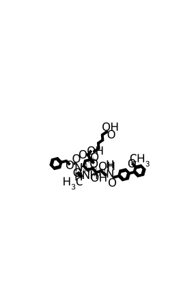 COc1ccccc1-c1ccc(C(=O)NC[C@@H](O)[C@@H](O)[C@@H]2O[C@@](OCCCCCC(=O)O)(C(=O)O)C[C@H](NC(=O)OCc3ccccc3)[C@H]2NC(C)=O)cc1